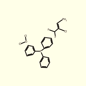 ClOCl.FC(F)C(Cl)=CP.c1ccc(P(c2ccccc2)c2ccccc2)cc1